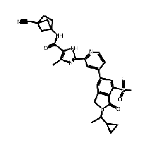 Cc1nc(-c2cc(-c3cc4c(c(S(C)(=O)=O)c3)C(=O)N(C(C)C3CC3)C4)ccn2)[nH]c1C(=O)NC12CCC(C#N)(C1)C2